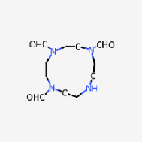 O=CN1CCNCCN(C=O)CCN(C=O)CC1